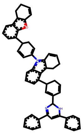 C1=Cc2oc3c(C4C=CC(n5c6c(c7c(C8C=C(C9N=C(c%10ccccc%10)C=C(c%10ccccc%10)N9)C=CC8)cccc75)CCC=C6)=CC4)cccc3c2CC1